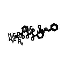 CON(C(=O)C1CCC2CN1C(=O)N2OCc1ccccc1)C(=O)[C@@H]1CCCN1C(=O)OC(C)(C)C